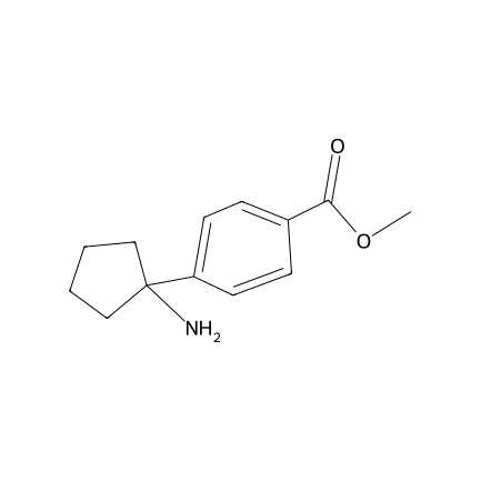 COC(=O)c1ccc(C2(N)CCCC2)cc1